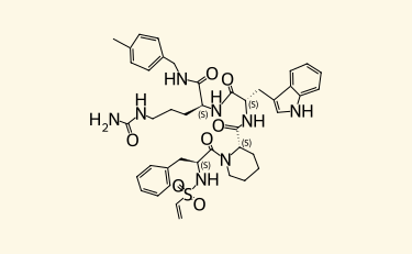 C=CS(=O)(=O)N[C@@H](Cc1ccccc1)C(=O)N1CCCC[C@H]1C(=O)N[C@@H](Cc1c[nH]c2ccccc12)C(=O)N[C@@H](CCCNC(N)=O)C(=O)NCc1ccc(C)cc1